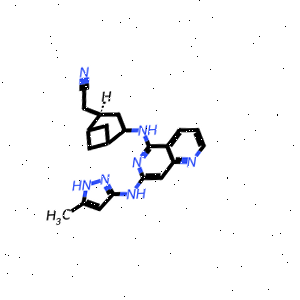 Cc1cc(Nc2cc3ncccc3c(NC3C[C@H](CC#N)C4CC3C4)n2)n[nH]1